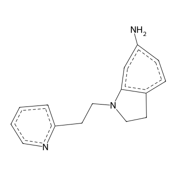 Nc1ccc2c(c1)N(CCc1ccccn1)CC2